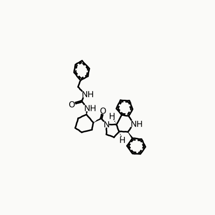 O=C(NCc1ccccc1)N[C@@H]1CCCC[C@@H]1C(=O)N1CC[C@@H]2[C@H](c3ccccc3)Nc3ccccc3[C@@H]21